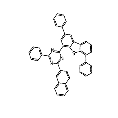 c1ccc(-c2cc(-c3nc(-c4ccccc4)nc(-c4ccc5ccccc5c4)n3)c3sc4c(-c5ccccc5)cccc4c3c2)cc1